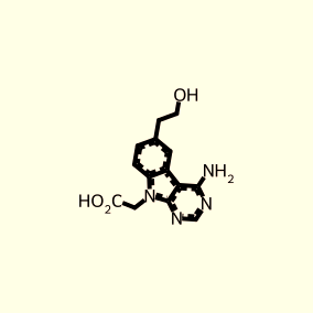 Nc1ncnc2c1c1cc(CCO)ccc1n2CC(=O)O